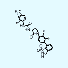 O=C(Nc1ccc(C(F)(F)F)cc1F)N[C@@H]1CCN(c2ccc(-c3cccc4c3S(=O)(=O)NC4)c(F)c2F)C1=O